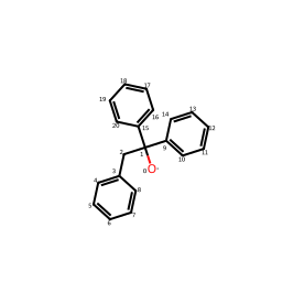 [O]C(Cc1ccccc1)(c1ccccc1)c1ccccc1